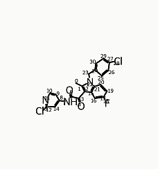 Cc1c(C(=O)C(=O)Nc2ccnc(Cl)c2)c2cc(F)ccc2n1Cc1ccc(Cl)cc1